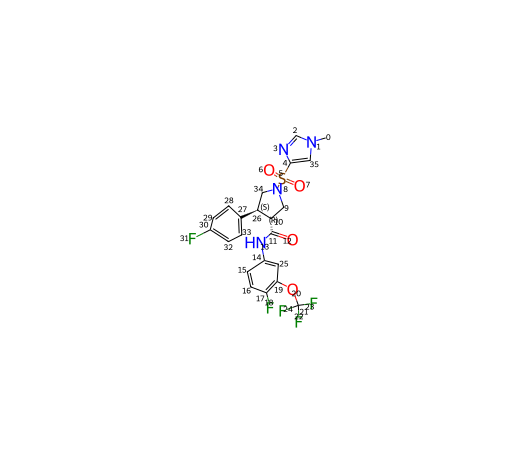 Cn1cnc(S(=O)(=O)N2C[C@H](C(=O)Nc3ccc(F)c(OC(F)(F)F)c3)[C@@H](c3ccc(F)cc3)C2)c1